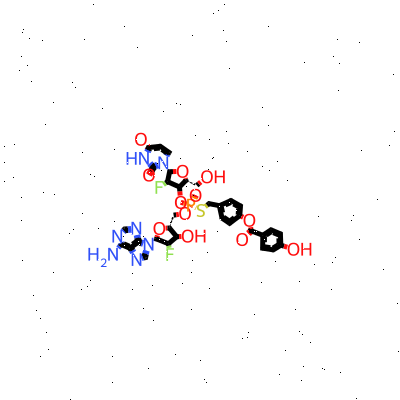 Nc1ncnc2c1ncn2[C@@H]1O[C@H](COP(=O)(OC2C(F)[C@H](n3ccc(=O)[nH]c3=O)O[C@@H]2CO)SCc2ccc(OC(=O)c3ccc(O)cc3)cc2)C(O)C1F